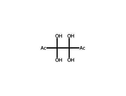 CC(=O)C(O)(O)C(O)(O)C(C)=O